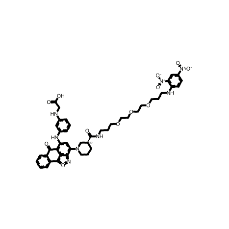 O=C(O)CNc1cccc(Nc2cc(N3CCC[C@H](C(=O)NCCCOCCOCCOCCCNc4ccc([N+](=O)[O-])cc4[N+](=O)[O-])C3)c3noc4c3c2C(=O)c2ccccc2-4)c1